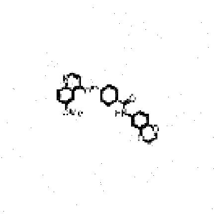 COc1ccc2nccc(OC[C@H]3CC[C@H](C(=O)Nc4ccc5c(c4)OCCO5)CC3)c2c1